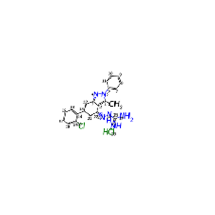 Cc1c2c(nn1-c1ccccc1)CC(c1ccccc1Cl)C/C2=N/NC(=N)N.Cl